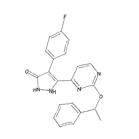 CC(Oc1nccc(-c2[nH][nH]c(=O)c2-c2ccc(F)cc2)n1)c1ccccc1